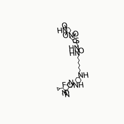 Cn1ncc(-c2cc(N[C@H]3CC[C@H](NCCCCCCCCNC(=O)NCc4cc5c(s4)C(=O)N(C4CCC(=O)NC4=O)C5)CC3)ncc2F)c1CC1CC1